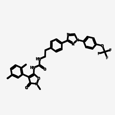 Cc1ccc(C)c(-c2c(NC(=O)NCCc3ccc(-c4ncn(-c5ccc(OC(F)(F)F)cc5)n4)cc3)on(C)c2=O)c1